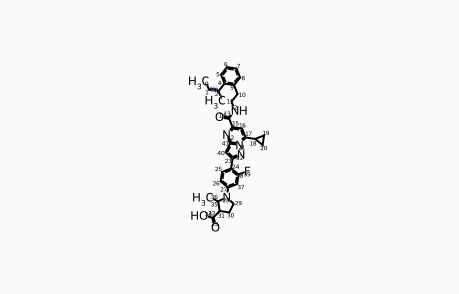 C/C=C(/C)c1ccccc1CCNC(=O)c1cc(C2CC2)n2nc(-c3ccc(N4CCC(C(=O)O)C4C)cc3F)cc2n1